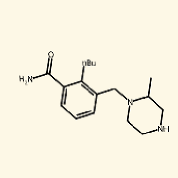 CCCCc1c(CN2CCNCC2C)cccc1C(N)=O